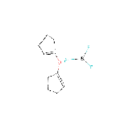 C1=C(OC2=CCCC2)CCC1.FB(F)F